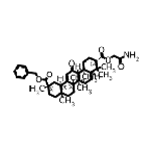 CC1(C)[C@@H](C(=O)OCC(N)=O)CC[C@]2(C)[C@H]3C(=O)C=C4[C@@H]5C[C@@](C)(C(=O)OCc6ccccc6)CC[C@]5(C)CC[C@@]4(C)[C@]3(C)CC[C@@H]12